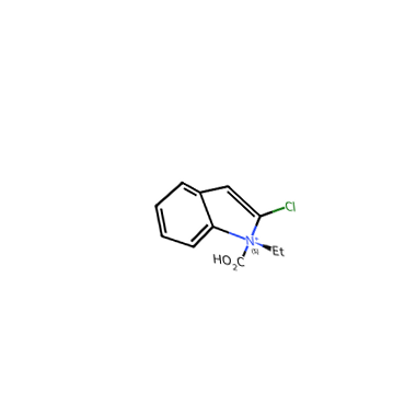 CC[N@+]1(C(=O)O)C(Cl)=Cc2ccccc21